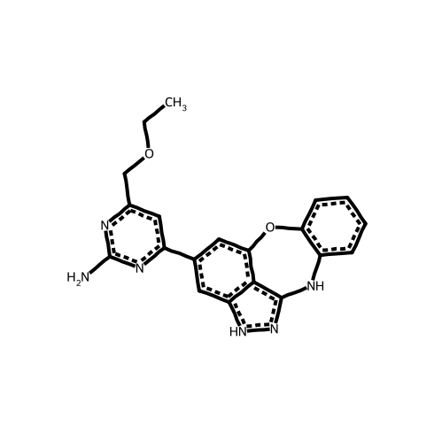 CCOCc1cc(-c2cc3c4c(n[nH]c4c2)Nc2ccccc2O3)nc(N)n1